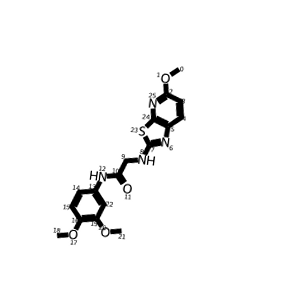 COc1ccc2nc(NCC(=O)Nc3ccc(OC)c(OC)c3)sc2n1